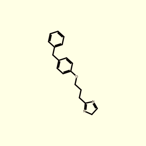 C1=NC(CCCOc2ccc(Cc3ccccc3)cc2)=NC1